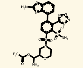 Nc1nc2c(-c3ccc(S(=O)(=O)N4CCOC(C(N)OC(=O)C(F)(F)F)C4)c(S(N)(=O)=O)c3-c3nnn[nH]3)cccc2s1